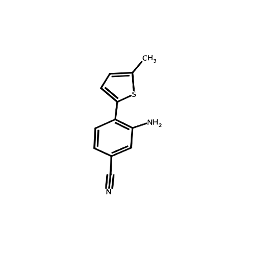 Cc1ccc(-c2ccc(C#N)cc2N)s1